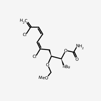 C=C(Cl)/C=C\C=C(\Cl)C[C@H](OCOC)[C@H](CCCC)OC(N)=O